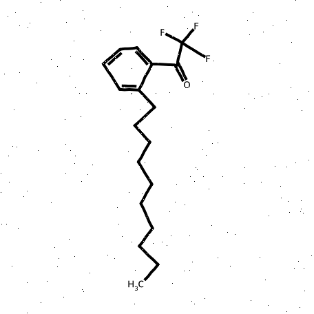 CCCCCCCCCCc1ccccc1C(=O)C(F)(F)F